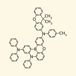 Cc1ccc(N(c2ccc3c(c2)Oc2cccc4c2B3c2ccc(N(c3ccccc3)c3ccccc3)cc2N4c2ccccc2)c2ccc3c(c2)C(C)(C)c2ccccc2O3)cc1